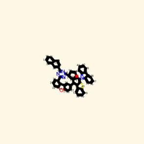 c1ccc(-c2nc(-c3ccc4ccccc4c3)nc(-c3cccc4oc5ccc(-c6ccc(-n7c8ccccc8c8ccccc87)c7sc8ccccc8c67)cc5c34)n2)cc1